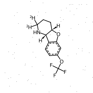 [2H]C1([2H])CC[C@@H]2Oc3cc(OC(F)(F)F)ccc3[C@@H]2N1